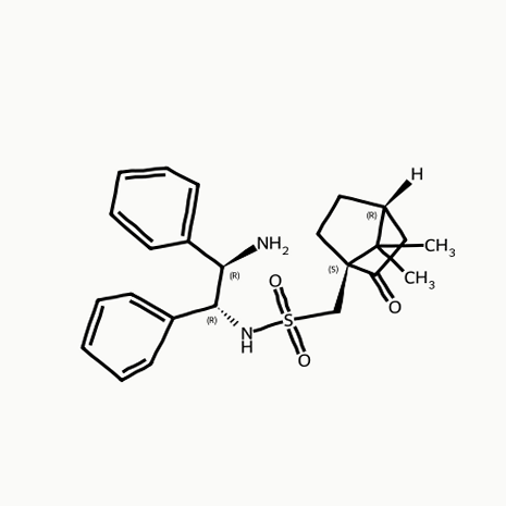 CC1(C)[C@@H]2CC[C@@]1(CS(=O)(=O)N[C@H](c1ccccc1)[C@H](N)c1ccccc1)C(=O)C2